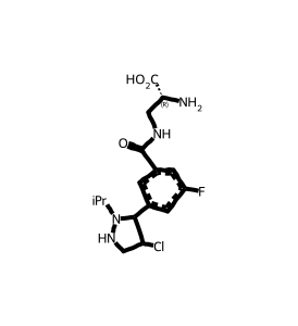 CC(C)N1NCC(Cl)C1c1cc(F)cc(C(=O)NC[C@@H](N)C(=O)O)c1